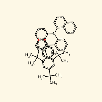 CC(C)(C)c1cc(C(C)(C)C)c2c(c1)C(C)(C)c1cccc(-c3ccccc3N(c3cccc4ccccc34)c3cccc4sc5ccccc5c34)c1-2